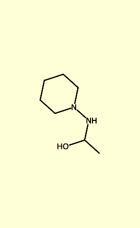 CC(O)NN1CCCCC1